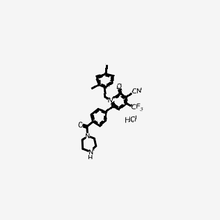 Cc1ccc(Cn2c(-c3ccc(C(=O)N4CCNCC4)cc3)cc(C(F)(F)F)c(C#N)c2=O)c(C)c1.Cl